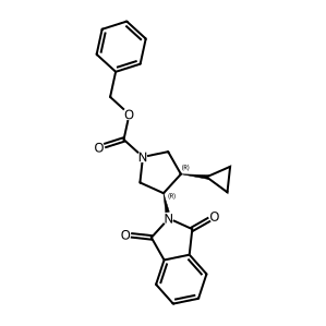 O=C(OCc1ccccc1)N1C[C@@H](C2CC2)[C@@H](N2C(=O)c3ccccc3C2=O)C1